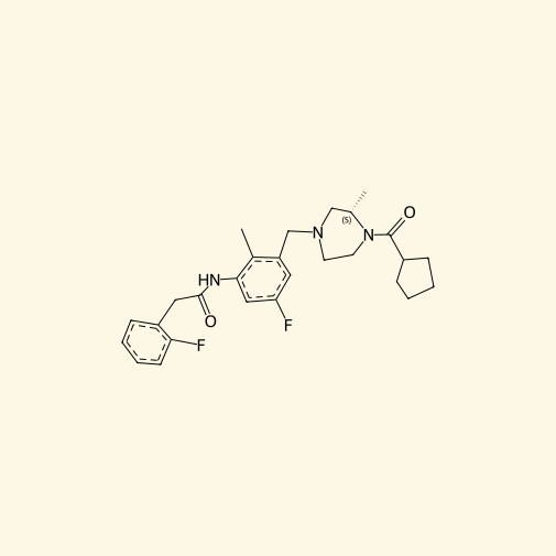 Cc1c(CN2CCN(C(=O)C3CCCC3)[C@@H](C)C2)cc(F)cc1NC(=O)Cc1ccccc1F